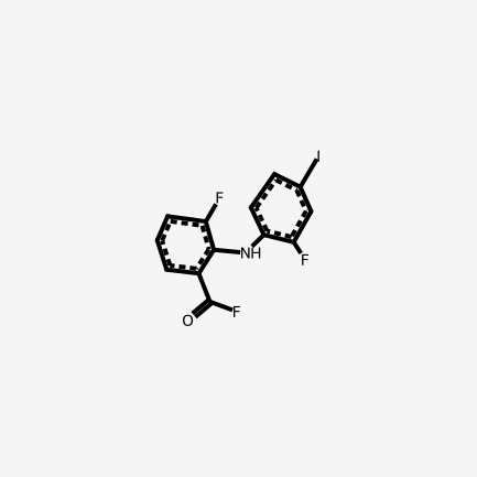 O=C(F)c1cccc(F)c1Nc1ccc(I)cc1F